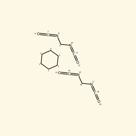 C1CCCCC1.O=C=NCN=C=O.O=C=NCN=C=O